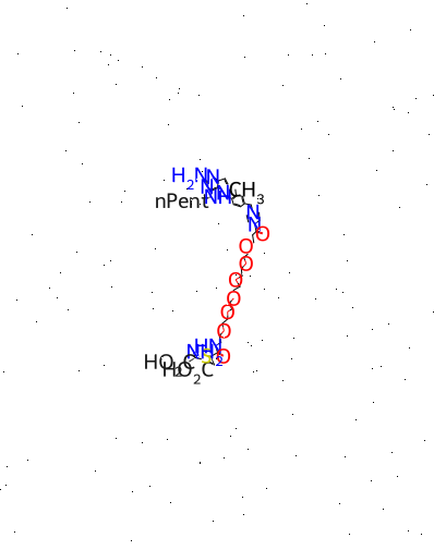 CCCCCNc1nc(N)nc2ccn(Cc3ccc(CN4CCN(C(=O)CCOCCOCCOCCOCCOCCOCCNC(=O)[C@@H](CC(=O)O)SC[C@H](N)C(=O)O)CC4)cc3C)c12